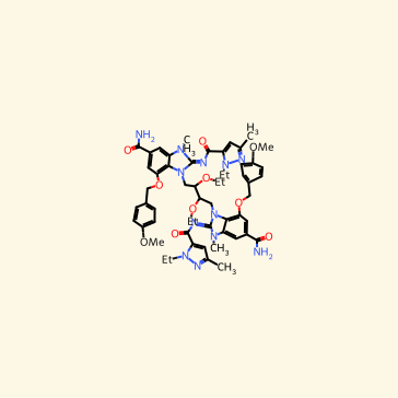 CCOC(Cn1/c(=N/C(=O)c2cc(C)nn2CC)n(C)c2cc(C(N)=O)cc(OCc3ccc(OC)cc3)c21)C(Cn1/c(=N/C(=O)c2cc(C)nn2CC)n(C)c2cc(C(N)=O)cc(OCc3ccc(OC)cc3)c21)OCC